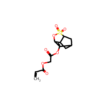 C=CC(=O)OCC(=O)OC1=C2OS(=O)(=O)C3CC1CC23